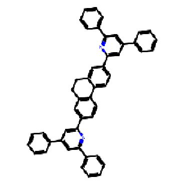 c1ccc(-c2cc(-c3ccccc3)nc(-c3ccc4c(c3)CCc3cc(-c5cc(-c6ccccc6)cc(-c6ccccc6)n5)ccc3-4)c2)cc1